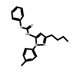 CCCCc1cc(NC(=O)Oc2ccccc2)n(-c2ccc(C)cc2)n1